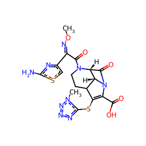 CO/N=C(\C(=O)N1CCC2C(Sc3nnnn3C)=C(C(=O)O)N3C(=O)[C@@H]1[C@@H]23)c1csc(N)n1